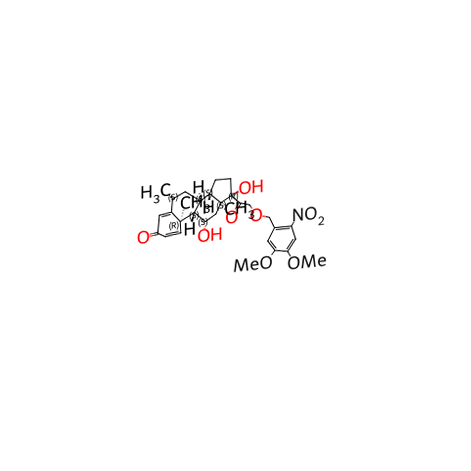 COc1cc(COCC(=O)[C@@]2(O)CC[C@H]3[C@@H]4C[C@H](C)C5=CC(=O)C=C[C@]5(C)[C@H]4[C@@H](O)C[C@@]32C)c([N+](=O)[O-])cc1OC